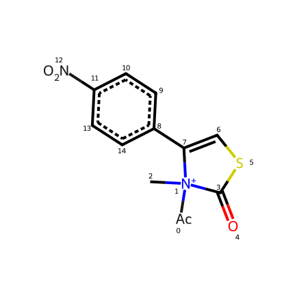 CC(=O)[N+]1(C)C(=O)SC=C1c1ccc([N+](=O)[O-])cc1